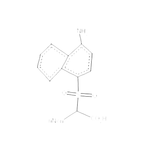 CCCCCCCCCC(C(=O)O)S(=O)(=O)c1ccc(N)c2ccccc12